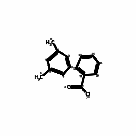 Cc1cccc(C)c1.O=C(Cl)c1ccccc1